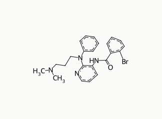 CN(C)CCCN(c1ccccc1)c1ncccc1NC(=O)c1ccccc1Br